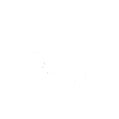 CC(=O)c1ccc(CN2CCC(CN[C@@H]3C[C@H]3c3cc(C(=O)NC4CCC(F)(F)CC4)cs3)CC2)cc1